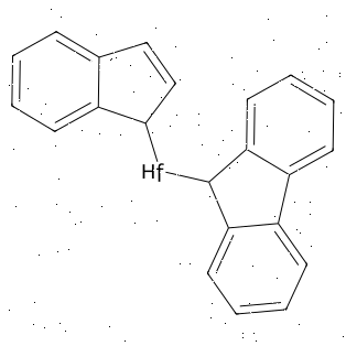 C1=C[CH]([Hf][CH]2c3ccccc3-c3ccccc32)c2ccccc21